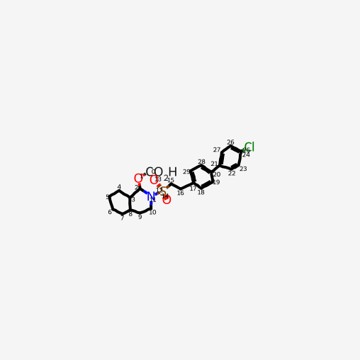 O=C(O)OC1C2CCCCC2CCN1S(=O)(=O)CCc1ccc(-c2ccc(Cl)cc2)cc1